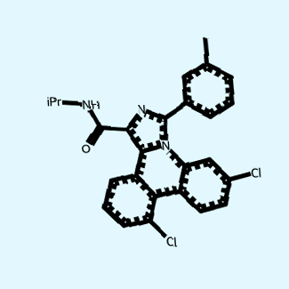 Cc1cccc(-c2nc(C(=O)NC(C)C)c3c4cccc(Cl)c4c4ccc(Cl)cc4n23)c1